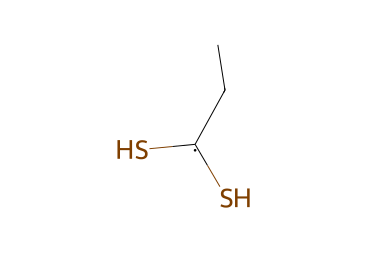 CC[C](S)S